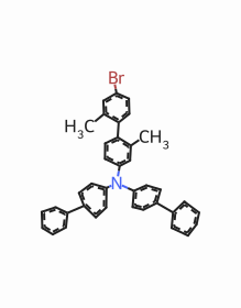 Cc1cc(Br)ccc1-c1ccc(N(c2ccc(-c3ccccc3)cc2)c2ccc(-c3ccccc3)cc2)cc1C